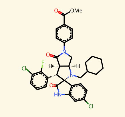 COC(=O)c1ccc(N2C[C@@H]3[C@H](C2=O)[C@@H](c2cccc(Cl)c2F)[C@@]2(C(=O)Nc4cc(Cl)ccc42)N3CC2CCCCC2)cc1